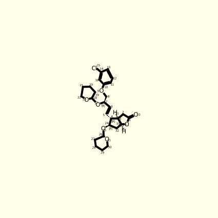 O=C1C[C@@H]2[C@@H](C=C[C@H](COc3cccc(Cl)c3)OC3CCCCO3)[C@H](OC3CCCCO3)C[C@@H]2O1